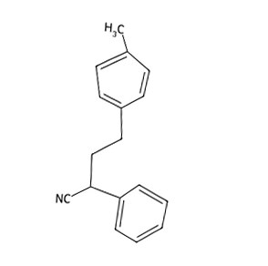 Cc1ccc(CCC(C#N)c2ccccc2)cc1